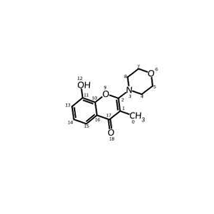 Cc1c(N2CCOCC2)oc2c(O)cccc2c1=O